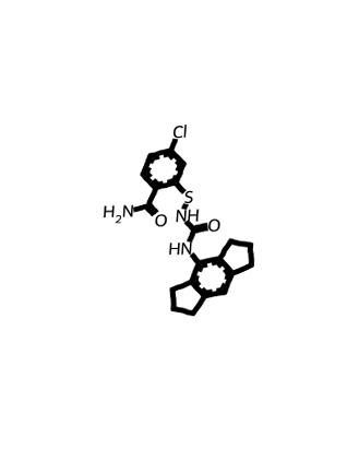 NC(=O)c1ccc(Cl)cc1SNC(=O)Nc1c2c(cc3c1CCC3)CCC2